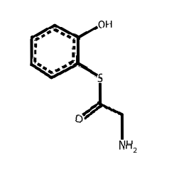 NCC(=O)Sc1ccccc1O